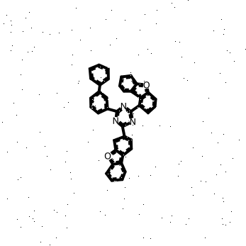 c1ccc(-c2cccc(-c3nc(-c4ccc5c(c4)oc4ccccc45)nc(-c4cccc5oc6ccccc6c45)n3)c2)cc1